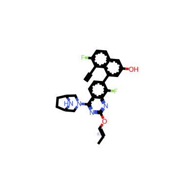 C#Cc1c(F)ccc2cc(O)cc(-c3ccc4c(N5CC6CCC(C5)N6)nc(O/C=C/C)nc4c3F)c12